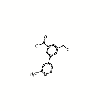 Cc1cc(-c2cc(CCl)cc(C(=O)Cl)c2)ccn1